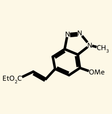 CCOC(=O)C=Cc1cc(OC)c2c(c1)nnn2C